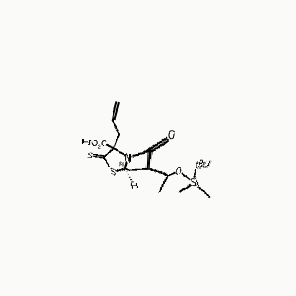 C=CCC1(C(=O)O)C(=S)S[C@@H]2C(C(C)O[Si](C)(C)C(C)(C)C)C(=O)N21